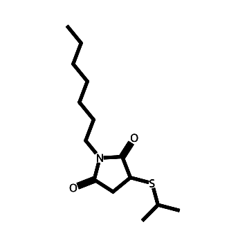 CCCCCCCN1C(=O)CC(SC(C)C)C1=O